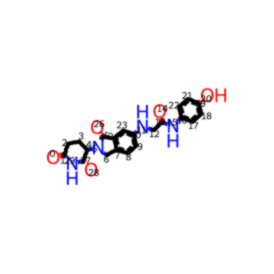 O=C1CCC(N2Cc3ccc(NCC(=O)Nc4ccc(O)cc4)cc3C2=O)C(=O)N1